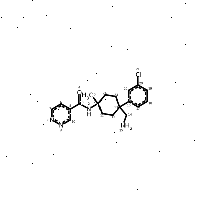 CC1(NC(=O)c2ccnnc2)CCC(CN)(c2cccc(Cl)c2)CC1